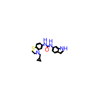 O=C(Nc1ccc2c(c1)N(CC1CC1)CCS2)Nc1ccc2cc[nH]c2c1